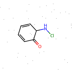 O=C1C=CC=CC1NCl